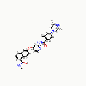 CNC(=O)c1cccc2cc(Oc3ccnc(NC(=O)c4ccc(N5C[C@@H](C)N[C@@H](C)C5)cc4C)c3)ccc12